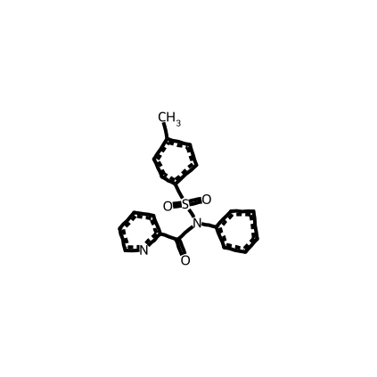 Cc1ccc(S(=O)(=O)N(C(=O)c2ccccn2)c2ccccc2)cc1